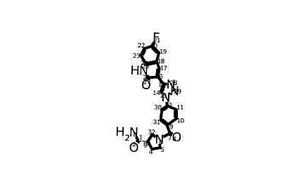 NC(=O)[C@H]1CCN(C(=O)c2ccc(-n3cc(-c4cc5cc(F)ccc5[nH]c4=O)nn3)cc2)C1